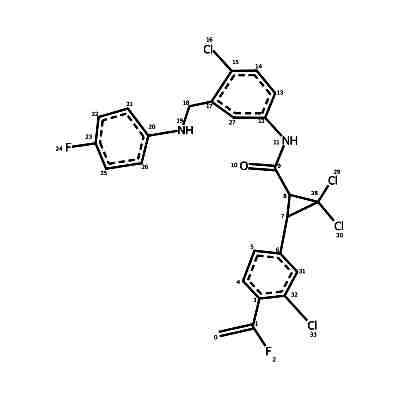 C=C(F)c1ccc(C2C(C(=O)Nc3ccc(Cl)c(CNc4ccc(F)cc4)c3)C2(Cl)Cl)cc1Cl